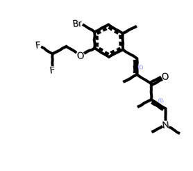 C/C(=C\c1cc(OCC(F)F)c(Br)cc1C)C(=O)/C(C)=C/N(C)C